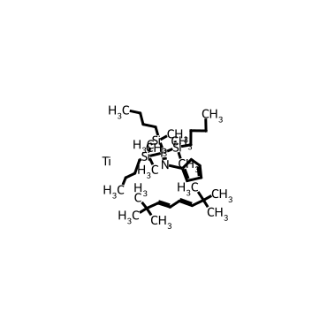 CC(C)(C)C=CC=CC(C)(C)C.CCCC[Si](C)(C)P(=NC1=CC=CC1)([Si](C)(C)CCCC)[Si](C)(C)CCCC.[Ti]